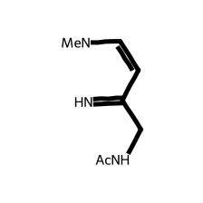 CN/C=C\C(=N)CNC(C)=O